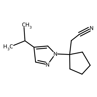 CC(C)c1cnn(C2(CC#N)CCCC2)c1